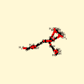 CCC#CO[PH](=O)OCCCC1CCCC(C(=N)CCC/C=C/COCCOCCC(=O)N2CCC(C(=O)NC(COCCC(=O)NCCCCCCOC3OC(CO)C(O)C(O)C3NC(C)=O)(COCCC(=O)NCCCCCCOC3OC(CO)C(O)C(O)C3NC(C)=O)COCCC(=O)NCCCCCCOC3OC(CO)C(O)C(O)C3NC(C)=O)CC2)/C(=C(/C)N)CC1